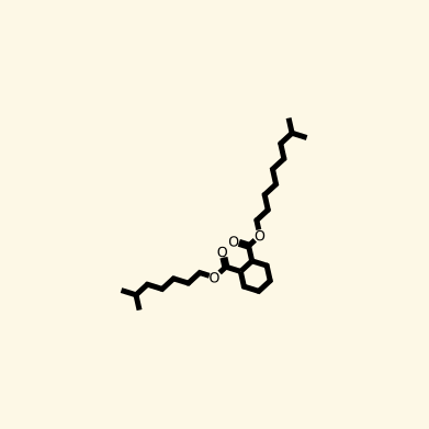 CC(C)CCCCCCCOC(=O)C1CCCCC1C(=O)OCCCCCC(C)C